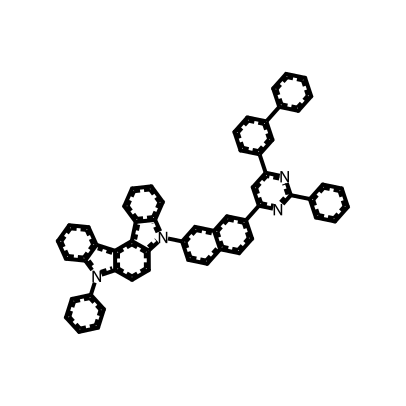 c1ccc(-c2cccc(-c3cc(-c4ccc5ccc(-n6c7ccccc7c7c8c9ccccc9n(-c9ccccc9)c8ccc76)cc5c4)nc(-c4ccccc4)n3)c2)cc1